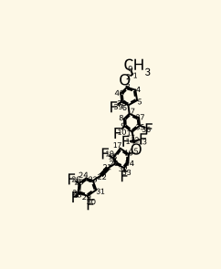 CCOc1ccc(-c2cc(F)c(C(F)(F)Oc3cc(F)c(C#Cc4cc(F)c(F)c(F)c4)c(F)c3)c(F)c2)c(F)c1